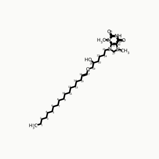 CCCCCCCCCCCCCCCCC=COCC(O)CCCCN1CN(C)c2c1n(C)c(=O)[nH]c2=O